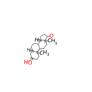 C[C@]12CCC3C(CC[C@@H]4C[C@@H](O)CC[C@]34C)[C@@H]1CCC2=O